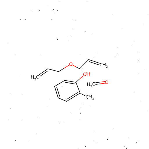 C=CCOCC=C.C=O.Cc1ccccc1O